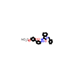 O=C(O)Oc1cccc(-c2cccc(NN=C3C(=O)N(Cc4ccccc4)c4ccccc43)c2O)c1